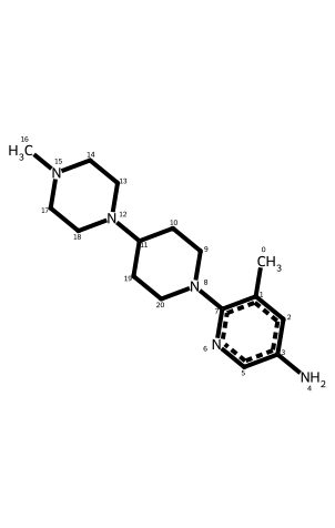 Cc1cc(N)cnc1N1CCC(N2CCN(C)CC2)CC1